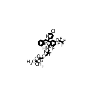 CC(C)(C)OC(=O)COCC(F)(F)CNC(=O)NC(Cc1ccccc1)(c1cc(F)cc(OC(F)(F)C(F)F)c1)c1ccc(Cl)cn1